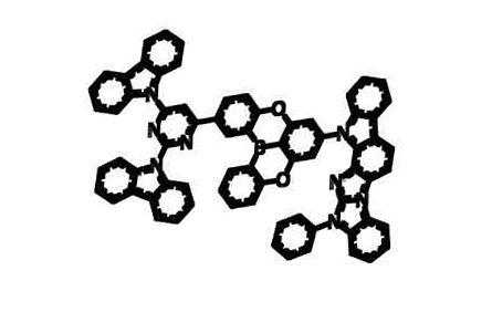 c1ccc(-n2c3ccccc3n3c4ccc5c6ccccc6n(-c6cc7c8c(c6)Oc6ccc(-c9cc(-n%10c%11ccccc%11c%11ccccc%11%10)nc(-n%10c%11ccccc%11c%11ccccc%11%10)n9)cc6B8c6ccccc6O7)c5c4nc23)cc1